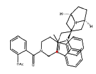 CC(=O)Oc1ccccc1C(=O)N1CCC(CCN2[C@@H]3CC[C@H]2C[C@@H](n2c(C)nc4ccccc42)C3)(c2ccccc2)CC1